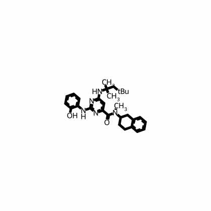 CN(C(=O)c1cc(NC(C)(C)CC(C)(C)C)nc(Nc2ccccc2O)n1)C1CCc2ccccc2C1